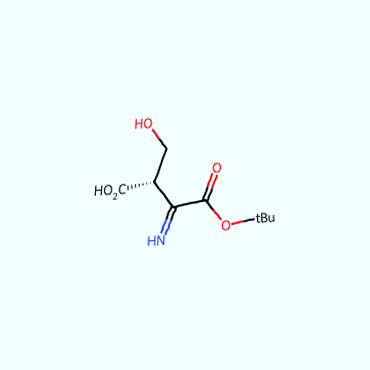 CC(C)(C)OC(=O)C(=N)[C@@H](CO)C(=O)O